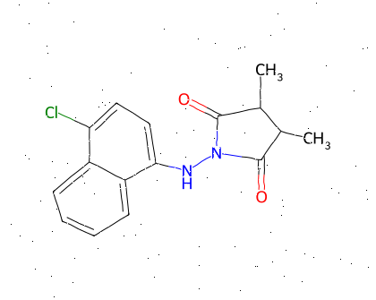 CC1C(=O)N(Nc2ccc(Cl)c3ccccc23)C(=O)C1C